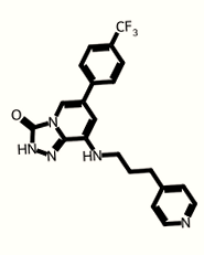 O=c1[nH]nc2c(NCCCc3ccncc3)cc(-c3ccc(C(F)(F)F)cc3)cn12